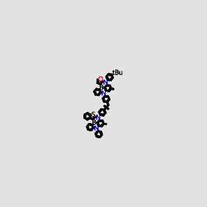 Cc1cc2c3c(c1)N(c1ccc(C(C)(C)C)cc1)c1occc1B3c1ccccc1N2c1ccc(CC(C)(C)c2ccc(N3c4cc(C)cc5c4B(c4ccccc4N5c4ccccc4)c4c3sc3ccccc43)cc2)cc1